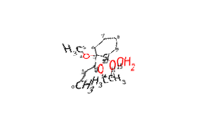 CCCC1(OC)CCCC[Si]1(OC)OC.O